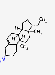 CC[C@H]1CC[C@H]2[C@@H]3CC=C4C[C@H](N)CC[C@]4(C)[C@H]3CC[C@]12C